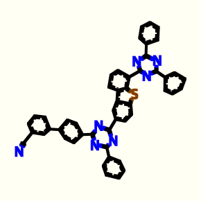 N#Cc1cccc(-c2ccc(-c3nc(-c4ccccc4)nc(-c4ccc5sc6c(-c7nc(-c8ccccc8)nc(-c8ccccc8)n7)cccc6c5c4)n3)cc2)c1